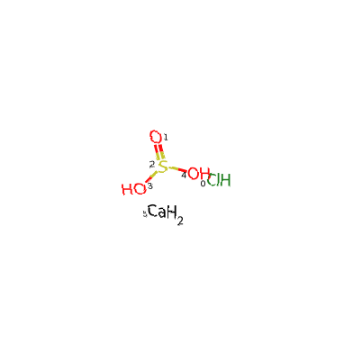 Cl.O=S(O)O.[CaH2]